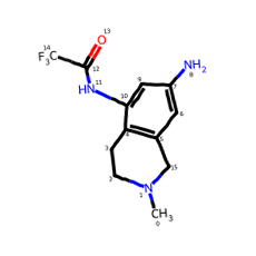 CN1CCc2c(cc(N)cc2NC(=O)C(F)(F)F)C1